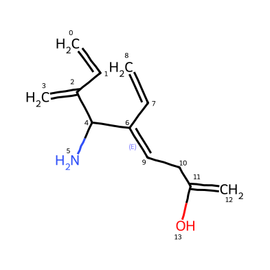 C=CC(=C)C(N)/C(C=C)=C/CC(=C)O